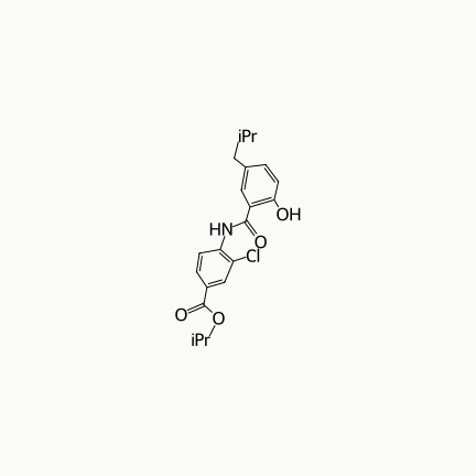 CC(C)Cc1ccc(O)c(C(=O)Nc2ccc(C(=O)OC(C)C)cc2Cl)c1